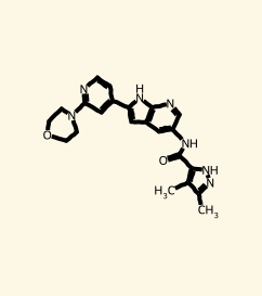 Cc1n[nH]c(C(=O)Nc2cnc3[nH]c(-c4ccnc(N5CCOCC5)c4)cc3c2)c1C